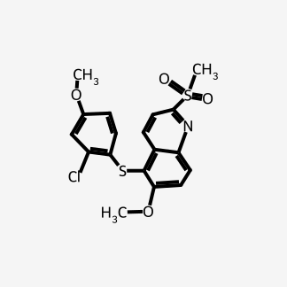 COc1ccc(Sc2c(OC)ccc3nc(S(C)(=O)=O)ccc23)c(Cl)c1